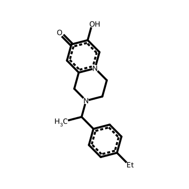 CCc1ccc(C(C)N2CCn3cc(O)c(=O)cc3C2)cc1